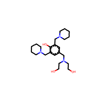 OCCN(CCO)Cc1cc(CN2CCCCC2)c(O)c(CN2CCCCC2)c1